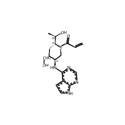 C=CC(=O)N1C[C@@H](Nc2ncnc3[nH]ccc23)CC[C@@H]1[C@@H](C)O.O=CO